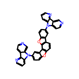 c1cnc2c3cnccc3n(-c3ccc4oc5c(ccc6oc7ccc(-n8c9cnccc9c9ncccc98)cc7c65)c4c3)c2c1